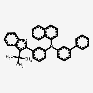 CC(C)(C)c1c(-c2cccc(N(c3cccc(-c4ccccc4)c3)c3cccc4ccccc34)c2)oc2ccccc12